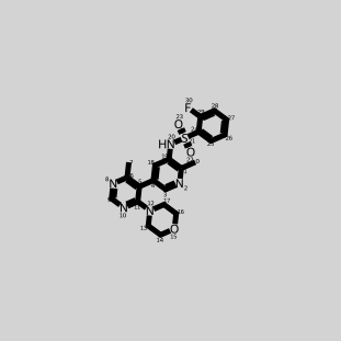 Cc1ncc(-c2c(C)ncnc2N2CCOCC2)cc1NS(=O)(=O)c1ccccc1F